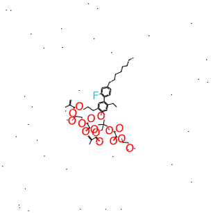 C=C(C)C(=O)OCCCc1cc(-c2ccc(CCCCCCCC)cc2F)c(CC)cc1OCC(COC(=O)C(=C)C)(COC(=O)C(=O)OCCOC)COC(=O)C(=O)OCCOC